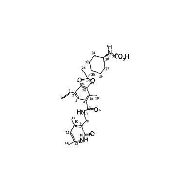 C=Cc1cc(C(=O)NCc2c(C)cc(C)[nH]c2=O)c(C)c2c1OC(C)([C@H]1CC[C@H](NC(=O)O)CC1)O2